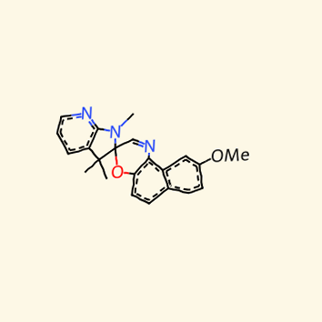 COc1ccc2ccc3c(c2c1)N=CC1(O3)N(C)c2ncccc2C1(C)C